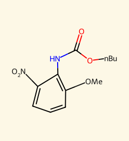 CCCCOC(=O)Nc1c(OC)cccc1[N+](=O)[O-]